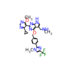 CNCc1c[nH]c2nc(-c3c(OC)ncnc3C3CC3)nc(OCc3ccc(-c4nc(C(F)(F)F)cn4C)cc3)c12